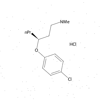 CCC[C@@H](CCNC)Oc1ccc(Cl)cc1.Cl